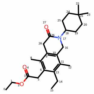 CCOC(=O)Cc1c(C)c2c(c(C)c1CC)CN(C1CCC(C)(C)CC1)C(=O)C2